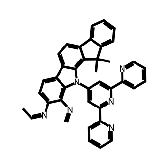 C=Nc1c(/N=C\C)ccc2c3ccc4c(c3n(-c3cc(-c5ccccn5)nc(-c5ccccn5)c3)c12)C(C)(C)c1ccccc1-4